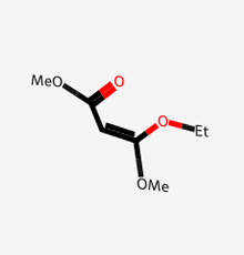 CCO/C(=C\C(=O)OC)OC